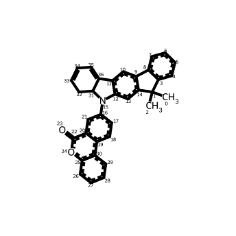 CC1(C)c2ccccc2-c2cc3c(cc21)N(c1ccc2c(c1)c(=O)oc1ccccc12)C1CC=CC=C31